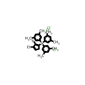 CCC1=CCC([Si](c2cc(C)cc(C)c2)(c2cc(C)cc(C)c2)c2cc(C)cc(C)c2)=[C]1[Ti+3].[Cl-].[Cl-].[Cl-]